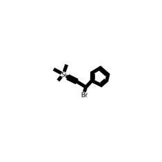 C[Si](C)(C)C#CC(Br)c1ccccc1